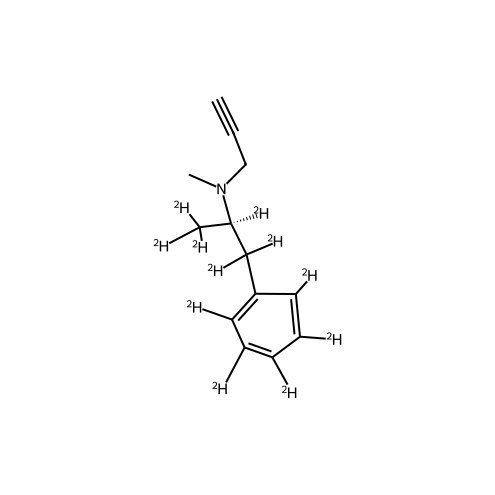 [2H]c1c([2H])c([2H])c(C([2H])([2H])[C@]([2H])(N(C)CC#C)C([2H])([2H])[2H])c([2H])c1[2H]